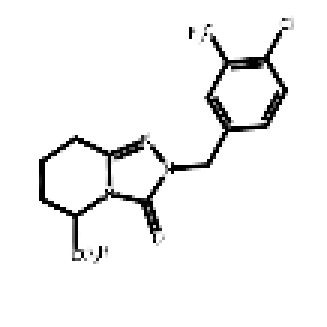 O=C(O)C1CCCc2nn(Cc3ccc(Cl)c(C(F)(F)F)c3)c(=O)n21